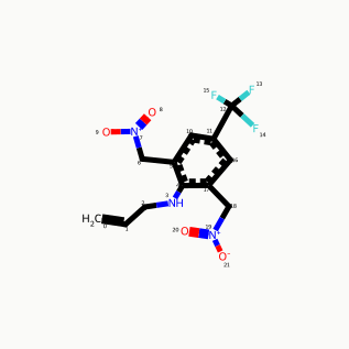 C=CCNc1c(C[N+](=O)[O-])cc(C(F)(F)F)cc1C[N+](=O)[O-]